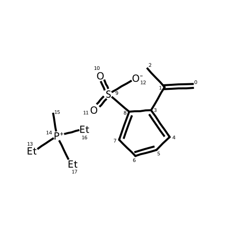 C=C(C)c1ccccc1S(=O)(=O)[O-].CC[P+](C)(CC)CC